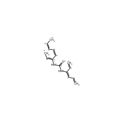 C=C/C=C(\C=C)NC(=O)NC(/C=C\C=C/C)=C/C